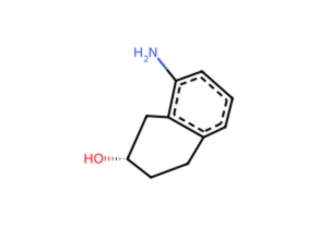 Nc1cccc2c1C[C@@H](O)CC2